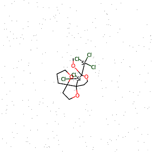 COC1([Si](Cl)(Cl)Cl)OCCC2(OCCC23CCCO3)[Si]1(Cl)Cl